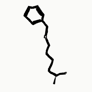 C[C@@H](F)CCCCOCc1ccccc1